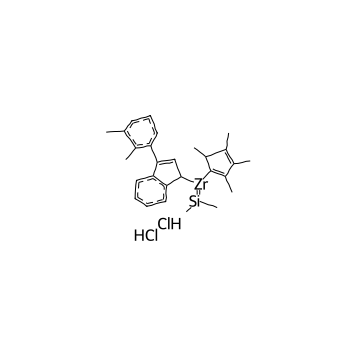 CC1=C(C)C(C)[C]([Zr]([CH]2C=C(c3cccc(C)c3C)c3ccccc32)=[Si](C)C)=C1C.Cl.Cl